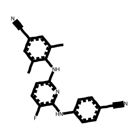 Cc1cc(C#N)cc(C)c1Nc1ccc(F)c(Nc2ccc(C#N)cc2)n1